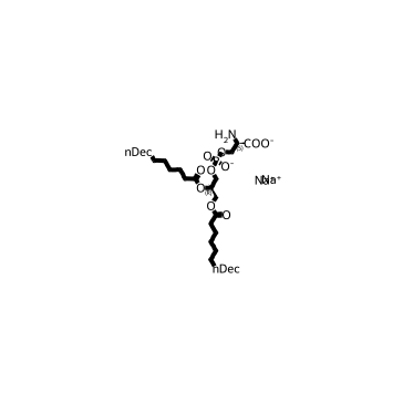 CCCCCCCCCCCCCCCC(=O)OC[C@H](COP(=O)([O-])OC[C@H](N)C(=O)[O-])OC(=O)CCCCCCCCCCCCCCC.[Na+].[Na+]